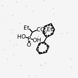 CCOC(=O)C(CC)P(=O)(O)O.c1ccc(-c2ccccc2)cc1